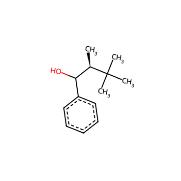 C[C@H](C(O)c1ccccc1)C(C)(C)C